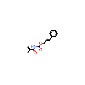 C=C(C)C(=O)NC(=O)OC/C=C/c1ccccc1